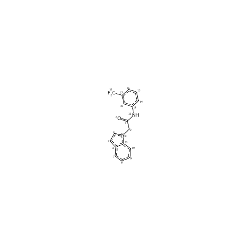 O=C(Cn1ccc2ccccc21)Nc1cccc(C(F)(F)F)c1